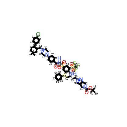 CC1(C)CCC(c2ccc(Cl)cc2)=C(CN2CCN(c3ccc(C(=O)NS(=O)(=O)c4ccc(N[C@H](CCn5cc6c(n5)CN(C(=O)OC(C)(C)C)C6)CSc5ccccc5)c(S(=O)(=O)C(F)(F)F)c4)cc3)CC2)C1